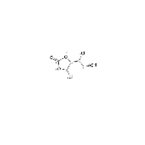 O=C1OC(Cl)C(C(Cl)CO)O1